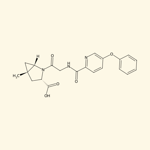 C[C@@]12C[C@@H]1N(C(=O)CNC(=O)c1ccc(Oc3ccccc3)cn1)[C@H](C(=O)O)C2